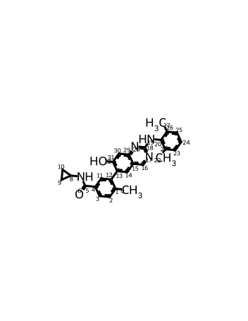 Cc1ccc(C(=O)NC2CC2)cc1-c1cc2cnc(Nc3c(C)cccc3C)nc2cc1O